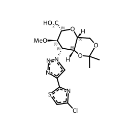 CO[C@@H]1[C@@H](n2cc(-c3nc(Cl)cs3)nn2)[C@H]2OC(C)(C)OC[C@H]2O[C@H]1C(=O)O